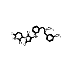 CN(Cc1cccc(NC2=CC(=O)N(C3CCC(=O)NC3=O)C2=O)c1)Cc1cccc(C(F)(F)F)c1